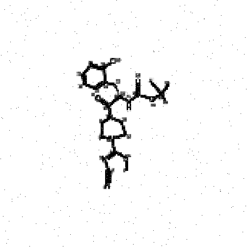 CSC(=NC#N)N1CCN(C(=O)[C@H](Cc2ccccc2Cl)NC(=O)OC(C)(C)C)CC1